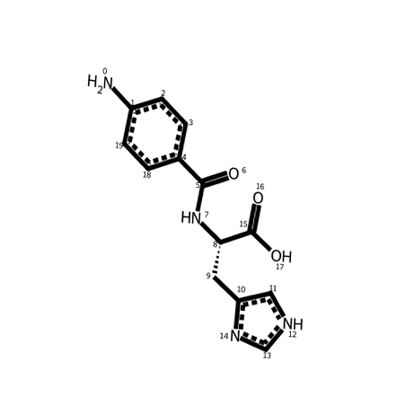 Nc1ccc(C(=O)N[C@@H](Cc2c[nH]cn2)C(=O)O)cc1